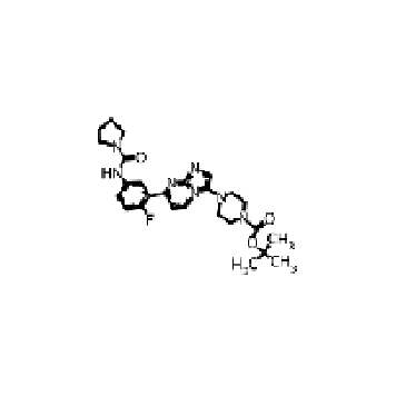 CC(C)(C)OC(=O)N1CCN(c2cnc3nc(-c4cc(NC(=O)N5CCCC5)ccc4F)ccn23)CC1